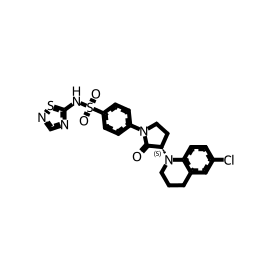 O=C1[C@@H](N2CCCc3cc(Cl)ccc32)CCN1c1ccc(S(=O)(=O)Nc2ncns2)cc1